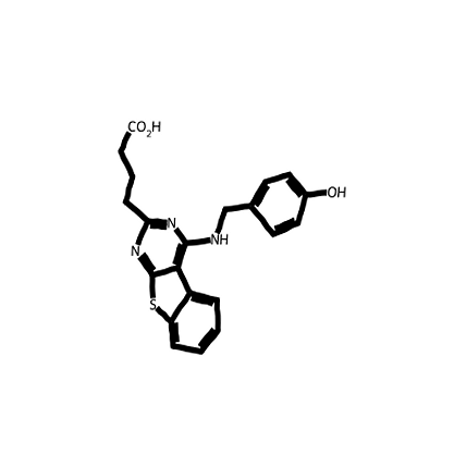 O=C(O)CCCc1nc(NCc2ccc(O)cc2)c2c(n1)sc1ccccc12